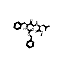 COC(=O)[C@H](CC(C)C)NCC(=O)[C@H](Cc1ccccc1)NC(=O)OCc1ccccc1